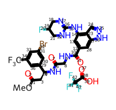 COC(=O)C[C@H](NC(=O)CNC(=O)c1cc(NC2=NCC(F)CN2)c2cn[nH]c2c1)c1cc(Br)cc(C(F)(F)F)c1.O=C(O)C(F)(F)F